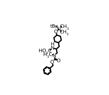 CN(CC(CC1CCC(O[Si](C)(C)C(C)(C)C)CC1)NC(=O)O)C(=O)OCc1ccccc1